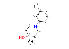 CC(C)c1cccc(N2CCC(C)(O)CC2)c1